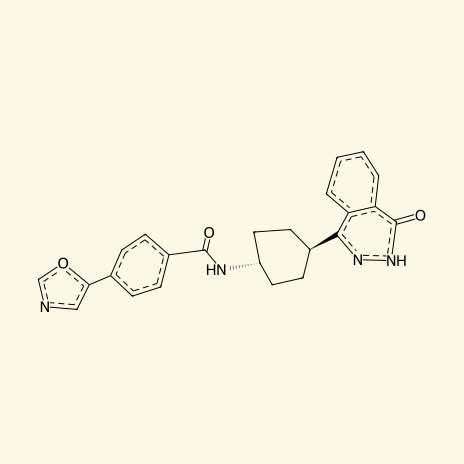 O=C(N[C@H]1CC[C@H](c2n[nH]c(=O)c3ccccc32)CC1)c1ccc(-c2cnco2)cc1